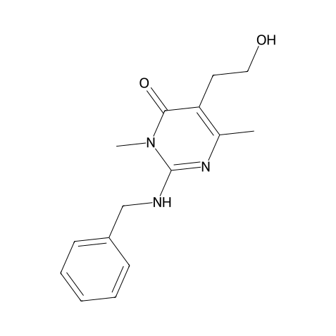 Cc1nc(NCc2ccccc2)n(C)c(=O)c1CCO